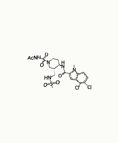 CC(=O)NS(=O)(=O)N1CC[C@@H](NC(=O)c2cc3c(Cl)c(Cl)ccc3n2C)[C@H](CNS(C)(=O)=O)C1